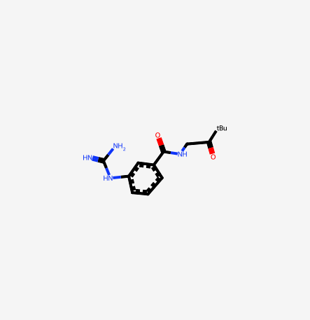 CC(C)(C)C(=O)CNC(=O)c1cccc(NC(=N)N)c1